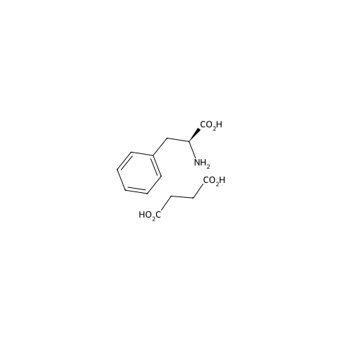 N[C@@H](Cc1ccccc1)C(=O)O.O=C(O)CCC(=O)O